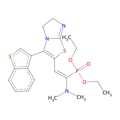 CCOP(=O)(OCC)C(=CC1=C(c2csc3ccccc23)N2CCN=C2S1)N(C)C